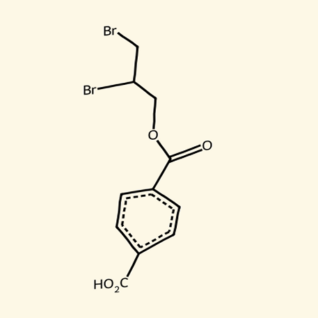 O=C(O)c1ccc(C(=O)OCC(Br)CBr)cc1